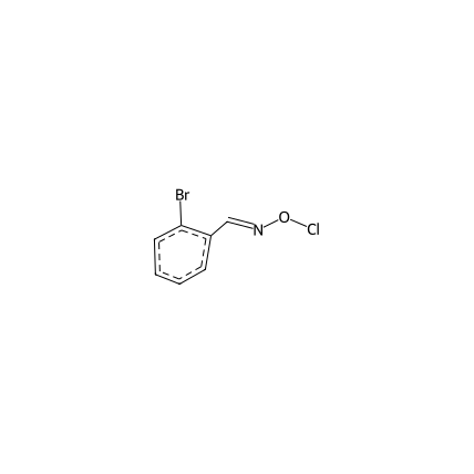 ClON=Cc1ccccc1Br